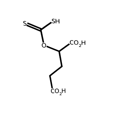 O=C(O)CCC(OC(=S)S)C(=O)O